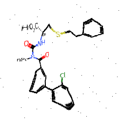 CCCN(C(=O)N[C@@H](CSCCc1ccccc1)C(=O)O)C(=O)c1cccc(-c2ccccc2Cl)c1